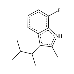 Cc1[nH]c2c(F)cccc2c1C(C)C(C)C